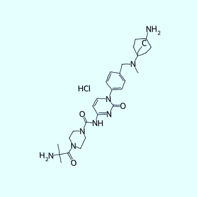 CN(Cc1ccc(-n2ccc(NC(=O)N3CCN(C(=O)C(C)(C)N)CC3)nc2=O)cc1)C12CCC(N)(CC1)CC2.Cl